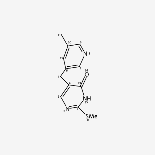 CSc1ncc(Cc2cncc(C)c2)c(=O)[nH]1